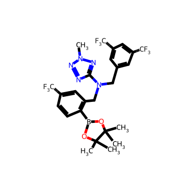 Cn1nnc(N(Cc2cc(C(F)(F)F)cc(C(F)(F)F)c2)Cc2cc(C(F)(F)F)ccc2B2OC(C)(C)C(C)(C)O2)n1